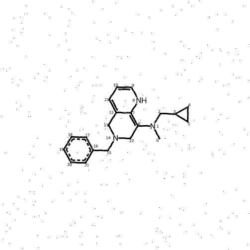 CN(CC1CC1)C1=C2NC=CC=C2CN(Cc2ccccc2)C1